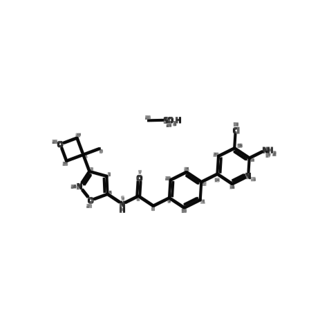 CC1(c2cc(NC(=O)Cc3ccc(-c4cnc(N)c(Cl)c4)cc3)on2)COC1.CS(=O)(=O)O